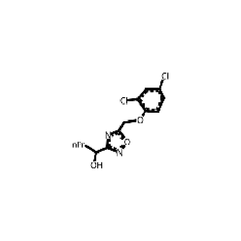 CCCC(O)c1noc(COc2ccc(Cl)cc2Cl)n1